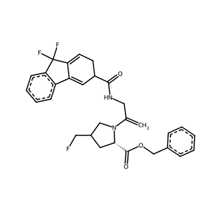 C=C(CNC(=O)C1C=C2C(=CC1)C(F)(F)c1ccccc12)N1CC(CF)C[C@H]1C(=O)OCc1ccccc1